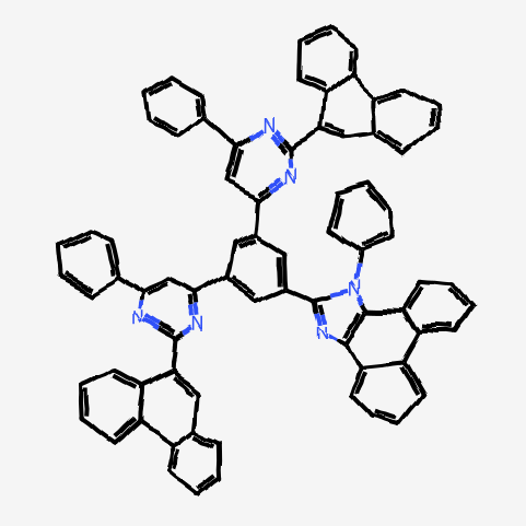 c1ccc(-c2cc(-c3cc(-c4cc(-c5ccccc5)nc(-c5cc6ccccc6c6ccccc56)n4)cc(-c4nc5c6ccccc6c6ccccc6c5n4-c4ccccc4)c3)nc(-c3cc4ccccc4c4ccccc34)n2)cc1